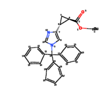 CCCCOC(=O)[C@@H]1C[C@H]1c1cn(C(c2ccccc2)(c2ccccc2)c2ccccc2)cn1